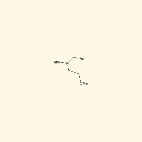 CCCCN(CCOC)CC(C)=O